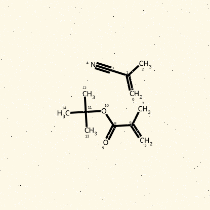 C=C(C)C#N.C=C(C)C(=O)OC(C)(C)C